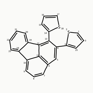 c1csc(-c2cc3cccc4c3c(c2-c2cccs2)-c2ccccc2-4)c1